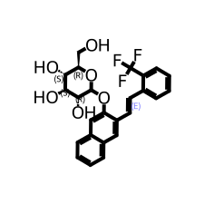 OC[C@H]1OC(Oc2cc3ccccc3cc2/C=C/c2ccccc2C(F)(F)F)[C@H](O)[C@@H](O)[C@@H]1O